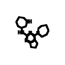 C1CCCN(c2nc(N[C@H]3CCCCNC3)nc3c2CCC3)CC1